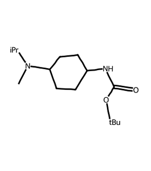 CC(C)N(C)C1CCC(NC(=O)OC(C)(C)C)CC1